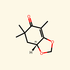 CC1=C2OCO[C@@H]2CC(C)(C)C1=O